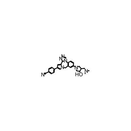 CN(C)CC1CN(c2ccc3c(c2)Cn2cc(-c4ccc(C#N)cc4)cc2-c2nncn2-3)CC1O